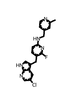 Cc1cc(CNc2ccc(Cc3c[nH]c4ncc(Cl)cc34)c(F)n2)ccn1